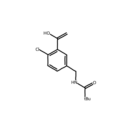 C=C(O)c1cc(CNC(=O)C(C)(C)C)ccc1Cl